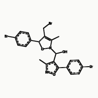 CC1=C(CBr)C(c2ccc(Br)cc2)ON1C(O)c1c(C)noc1-c1ccc(Br)cc1